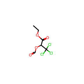 CCOC(=O)C(OC=O)C(Cl)(Cl)Cl